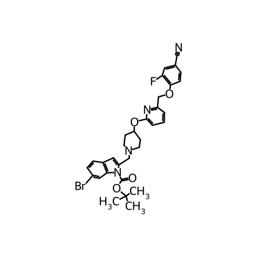 CC(C)(C)OC(=O)n1c(CN2CCC(Oc3cccc(COc4ccc(C#N)cc4F)n3)CC2)cc2ccc(Br)cc21